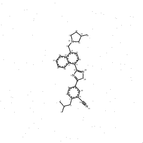 CC(C)Cc1ccc(C2=NC(c3ccc(CN4CCC(C)C4)c4ccccc34)=NC2)cc1C#N